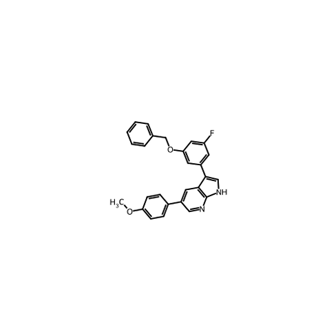 COc1ccc(-c2cnc3[nH]cc(-c4cc(F)cc(OCc5ccccc5)c4)c3c2)cc1